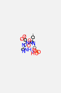 COc1ccc(C2(NC(=O)c3cn(CC4CCOCC4)cc(-c4ccc(C)cc4)c3=O)C=NC(c3cccnc3N)=CC2)cc1OC.CS(=O)(=O)O